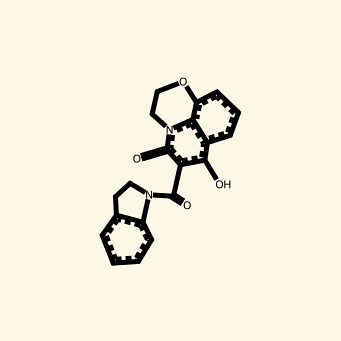 O=C(c1c(O)c2cccc3c2n(c1=O)CCO3)N1CCc2ccccc21